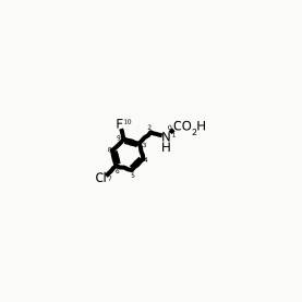 O=C(O)NCc1ccc(Cl)cc1F